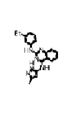 CCc1cccc(Nc2nc(Nc3cc(C)n[nH]3)c3ccccc3n2)c1